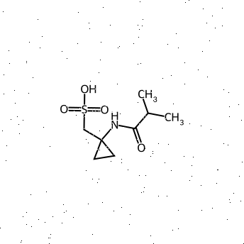 CC(C)C(=O)NC1(CS(=O)(=O)O)CC1